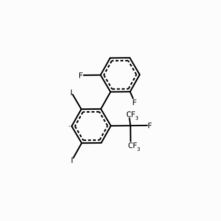 Fc1cccc(F)c1-c1c(I)[c]c(I)cc1C(F)(C(F)(F)F)C(F)(F)F